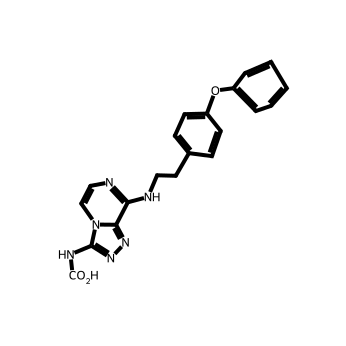 O=C(O)Nc1nnc2c(NCCc3ccc(Oc4ccccc4)cc3)nccn12